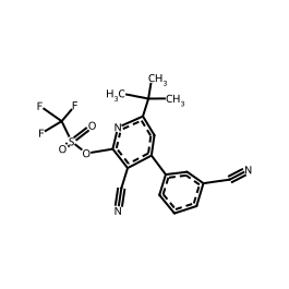 CC(C)(C)c1cc(-c2cccc(C#N)c2)c(C#N)c(OS(=O)(=O)C(F)(F)F)n1